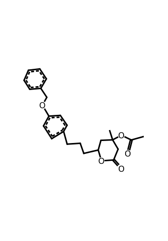 CC(=O)OC1(C)CC(=O)OC(CCCc2ccc(OCc3ccccc3)cc2)C1